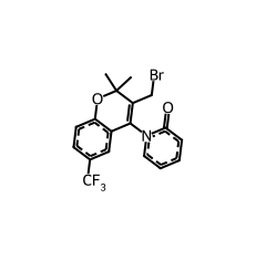 CC1(C)Oc2ccc(C(F)(F)F)cc2C(n2ccccc2=O)=C1CBr